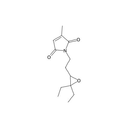 CCC1(CC)OC1CCN1C(=O)C=C(C)C1=O